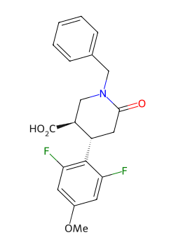 COc1cc(F)c([C@H]2CC(=O)N(Cc3ccccc3)C[C@@H]2C(=O)O)c(F)c1